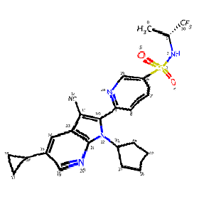 C[C@@H](NS(=O)(=O)c1ccc(-c2c(C#N)c3cc(C4CC4)cnc3n2C2CCCC2)nc1)C(F)(F)F